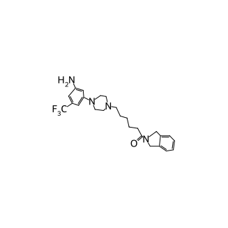 Nc1cc(N2CCN(CCCCCC(=O)N3Cc4ccccc4C3)CC2)cc(C(F)(F)F)c1